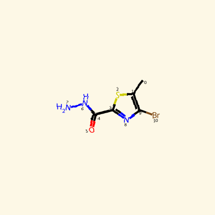 Cc1sc(C(=O)NN)nc1Br